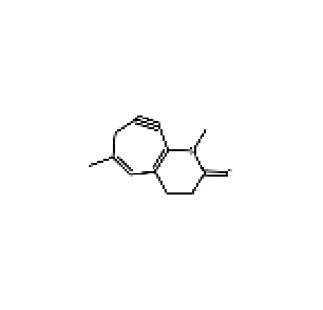 CC1=CC2=C(C#CC1)N(C)C(=O)CC2